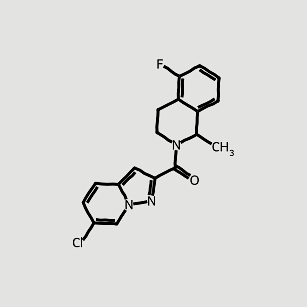 CC1c2cccc(F)c2CCN1C(=O)c1cc2ccc(Cl)cn2n1